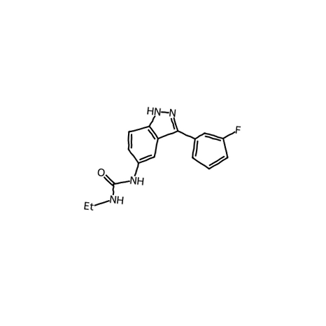 CCNC(=O)Nc1ccc2[nH]nc(-c3cccc(F)c3)c2c1